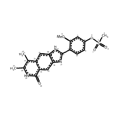 COc1cc(OS(C)(=O)=O)ccc1-c1nc2cc3c(=O)[nH]c(C)c(C)c3cc2[nH]1